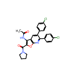 CC(=O)Nc1c(C(=O)N2CCCC2)oc2nc(-c3ccc(Cl)cc3)c(-c3ccc(Cl)cc3)cc12